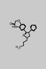 CCCCN1CC(c2ccccc2)C(c2ccc3c(c2)NC(=O)CO3)=N1